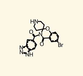 O=C(c1ccc2[nH]nnc2c1)N1C(=O)c2cc(Br)ccc2OC12CCNCC2